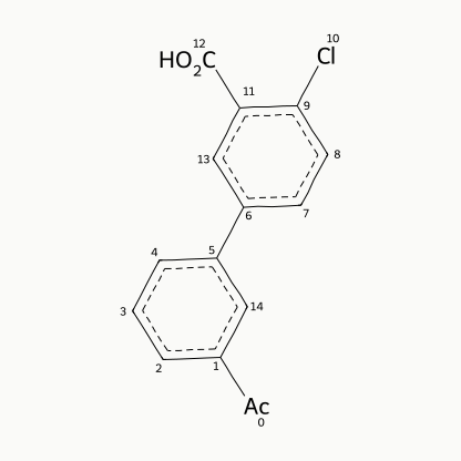 CC(=O)c1cccc(-c2ccc(Cl)c(C(=O)O)c2)c1